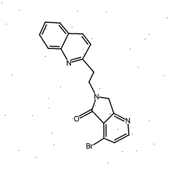 O=C1c2c(Br)ccnc2CN1CCc1ccc2ccccc2n1